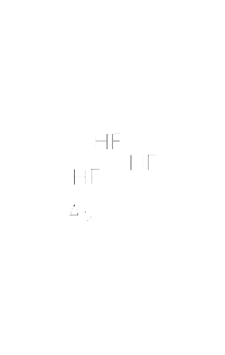 F.F.F.[As]